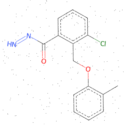 Cc1ccccc1OCc1c(Cl)cccc1C(=O)N=N